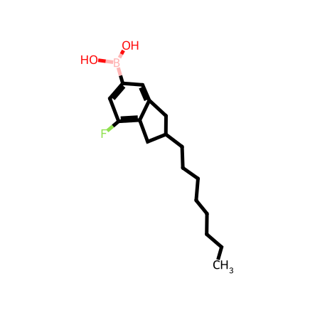 CCCCCCCCC1Cc2cc(B(O)O)cc(F)c2C1